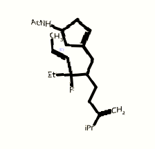 C=C(CCC(CC1=CCC(NC(C)=O)C1)C(F)(/C=C/C)CC)C(C)C